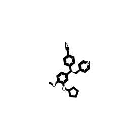 COc1ccc([C@H](Cc2ccncc2)c2ccc(C#N)cc2)cc1OC1CCCC1